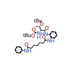 C[C@@H](OC(C)(C)C)[C@H](NC(=O)OC(C)(C)C)C(=O)Nc1ccccc1NC(=O)CCCCCC(=O)Nc1ccccc1